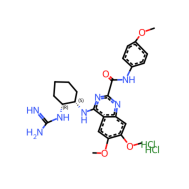 COc1ccc(NC(=O)c2nc(N[C@H]3CCCC[C@H]3NC(=N)N)c3cc(OC)c(OC)cc3n2)cc1.Cl.Cl